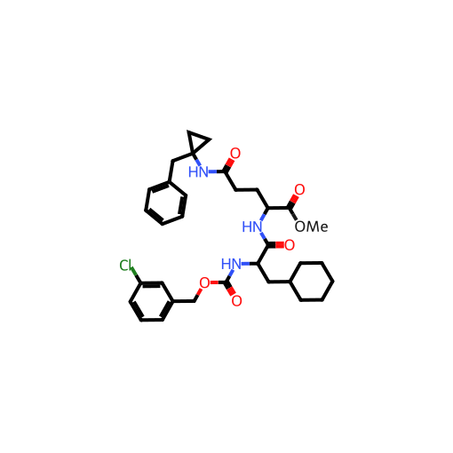 COC(=O)C(CCC(=O)NC1(Cc2ccccc2)CC1)NC(=O)C(CC1CCCCC1)NC(=O)OCc1cccc(Cl)c1